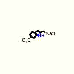 CCCCCCCCCc1cc2ccc(C(=O)O)cc2[nH]1